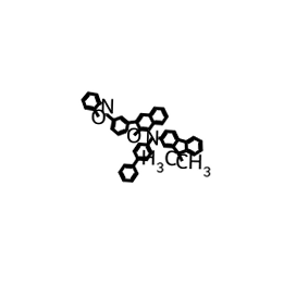 CC1(C)c2ccccc2-c2ccc(N(c3ccc(-c4ccccc4)cc3)c3c4ccccc4cc4c3oc3ccc(-c5nc6ccccc6o5)cc34)cc21